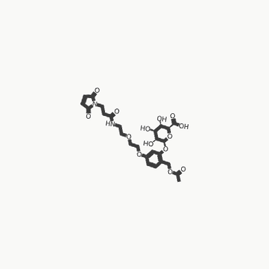 CC(=O)OCc1ccc(OCCOCCNC(=O)CCN2C(=O)C=CC2=O)cc1O[C@@H]1O[C@H](C(=O)O)[C@@H](O)[C@H](O)[C@H]1O